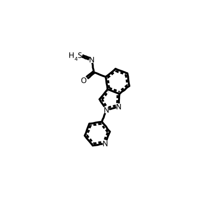 O=C(N=[SH4])c1cccc2nn(-c3cccnc3)cc12